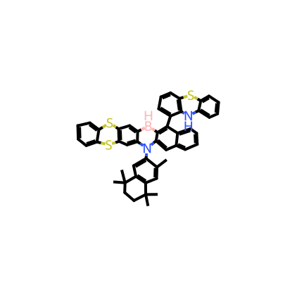 Cc1cc2c(cc1N1c3cc4c(cc3Bc3c1cc1ccccc1c3-c1cccc3c1Nc1ccccc1S3)Sc1ccccc1S4)C(C)(C)CCC2(C)C